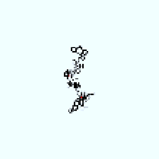 CCCC1O[C@@H]2C[C@H]3[C@@H]4CCC5=CC(=O)C=C[C@]5(C)C4[C@@H](O)C[C@]3(C)[C@]2(C(=O)COCNC(=O)CNC(=O)[C@H](Cc2ccccc2)NC(=O)CNC(=O)CNC(=O)CCC(=O)N2Cc3ccccc3C3=C(C3)c3ccccc32)O1